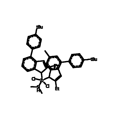 CCC1=Cc2c(-c3ccc(C(C)(C)C)cc3)cc(C)cc2[CH]1[Zr]([Cl])([Cl])([CH]1C(C(C)C)=Cc2c(-c3ccc(C(C)(C)C)cc3)cccc21)[SiH](C)C